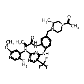 C=CC(=O)Nc1cc(CN2CCN(C(C)=O)C[C@H]2C)ccc1Nc1nc(Nc2cc(OC)ncc2C)ncc1C(F)(F)F